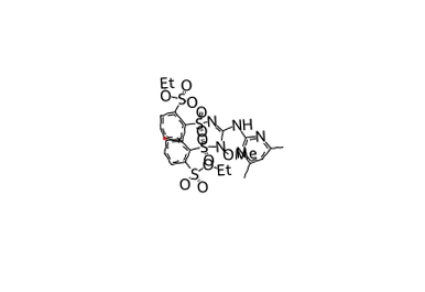 CCOS(=O)(=O)c1ccccc1S(=O)(=O)N=C(Nc1nc(C)cc(C)n1)N(OC)S(=O)(=O)c1ccccc1S(=O)(=O)OCC